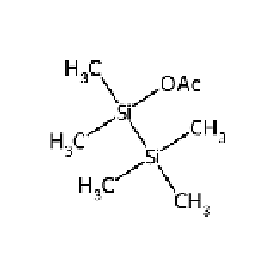 CC(=O)O[Si](C)(C)[Si](C)(C)C